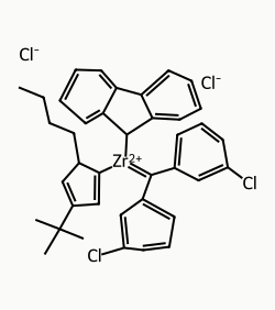 CCCCC1C=C(C(C)(C)C)C=[C]1[Zr+2](=[C](c1cccc(Cl)c1)c1cccc(Cl)c1)[CH]1c2ccccc2-c2ccccc21.[Cl-].[Cl-]